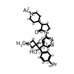 CC(=O)N1CCC(C2CCN(c3cc([C@@](O)(c4ccc(C(C)C)cc4)C4(C)CN(C)C4)cnn3)C2=O)CC1